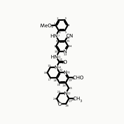 COc1ccccc1Nc1cc(NC(=O)N2CCCc3cc(CN4CCOCC4C)c(C=O)nc32)ncc1C#N